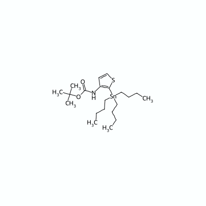 CCC[CH2][Sn]([CH2]CCC)([CH2]CCC)[c]1sccc1NC(=O)OC(C)(C)C